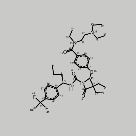 CCC[C@@H](NC(=O)N1C(=O)C(CC)(CC)[C@@H]1Oc1ccc(C(=O)N(CC)CCN(CC)CC)cc1)c1ccc(C(F)(F)F)cc1